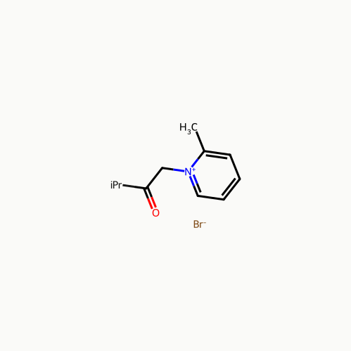 Cc1cccc[n+]1CC(=O)C(C)C.[Br-]